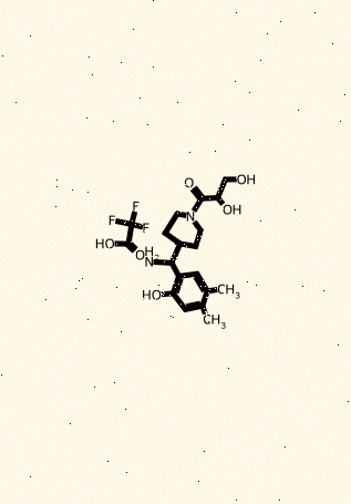 Cc1cc(O)c(C(N)C2CCN(C(=O)C(O)CO)CC2)cc1C.O=C(O)C(F)(F)F